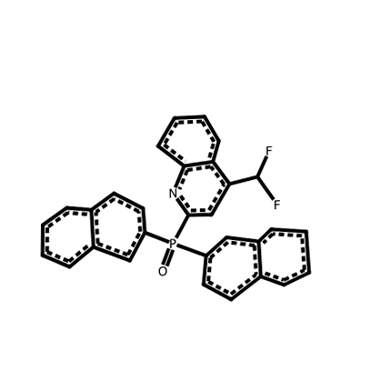 O=P(c1ccc2ccccc2c1)(c1ccc2ccccc2c1)c1cc(C(F)F)c2ccccc2n1